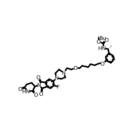 C[C@@H](NC(=O)OC(C)(C)C)c1cccc(OCCCCCCOCCN2CCN(c3cc4c(cc3F)C(=O)N(C3CCC(=O)NC3=O)C4=O)CC2)c1